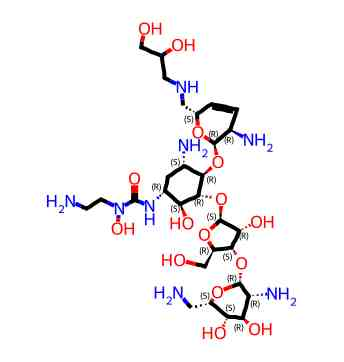 NCCN(O)C(=O)N[C@@H]1C[C@H](N)[C@@H](O[C@H]2O[C@H](CNCC(O)CO)C=C[C@H]2N)[C@H](O[C@@H]2O[C@H](CO)[C@@H](O[C@H]3O[C@@H](CN)[C@@H](O)[C@H](O)[C@H]3N)[C@H]2O)[C@H]1O